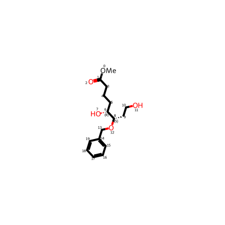 COC(=O)CCC[C@@H](O)[C@H](CCO)OCc1ccccc1